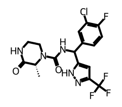 C[C@@H]1C(=O)NCCN1C(=O)NC(c1ccc(F)c(Cl)c1)c1cc(C(F)(F)F)n[nH]1